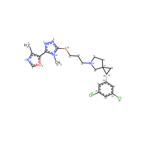 Cc1ncoc1-c1nnc(SCCCN2CCC3(C[C@@H]3c3cc(Cl)cc(Cl)c3)C2)n1C